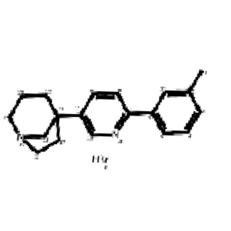 Br.Cc1cccc(-c2ccc(C34CCCN(CC3)C4)cn2)c1